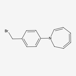 BrCc1ccc(N2C=CC=C=CC2)cc1